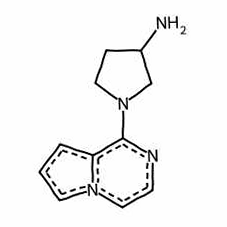 NC1CCN(c2nccn3cccc23)C1